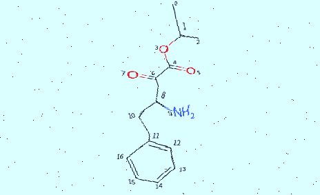 CC(C)OC(=O)C(=O)C(N)Cc1ccccc1